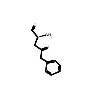 N[C@H]([C]=O)CC(=O)Cc1ccccc1